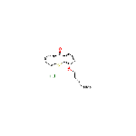 CNCCCCOc1cccc2c(=O)c3ccccc3sc12.Cl